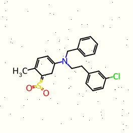 CC1=CC=C(N(CCc2cccc(Cl)c2)Cc2ccccc2)CC1=S(=O)=O